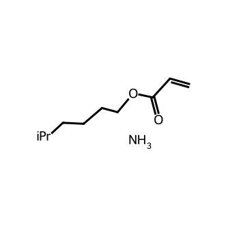 C=CC(=O)OCCCCC(C)C.N